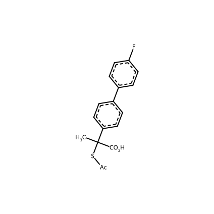 CC(=O)SC(C)(C(=O)O)c1ccc(-c2ccc(F)cc2)cc1